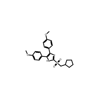 COc1ccc(-c2nc(S(=O)(=O)CC3CCCC3)[nH]c2-c2ccc(OC)cc2)cc1